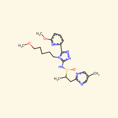 COCCCCCn1c(N[S+]([O-])C(C)Cc2ncc(C)cn2)nnc1-c1cccc(OC)n1